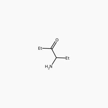 [CH2]CC(N)C(=O)CC